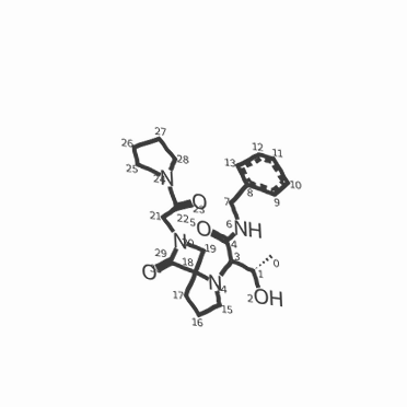 C[C@H](O)C(C(=O)NCc1ccccc1)N1CCCC12CN(CC(=O)N1CCCC1)C2=O